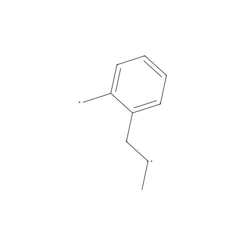 [CH2]c1ccccc1C[CH]C